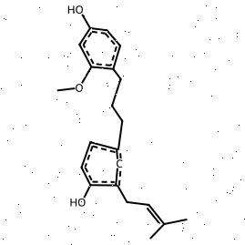 COc1cc(O)ccc1CCCc1ccc(O)c(CC=C(C)C)c1